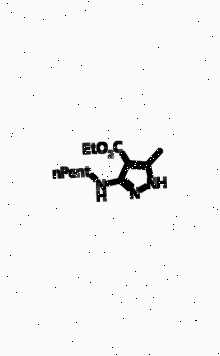 CCCCCNc1n[nH]c(C)c1C(=O)OCC